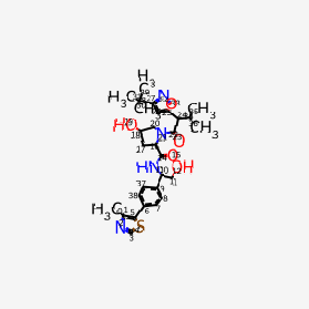 Cc1ncsc1-c1ccc(C(CO)NC(=O)C2CC(O)CN2C(=O)C(c2cc(C(C)(C)C)no2)C(C)C)cc1